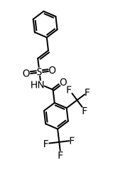 O=C(NS(=O)(=O)/C=C/c1ccccc1)c1ccc(C(F)(F)F)cc1C(F)(F)F